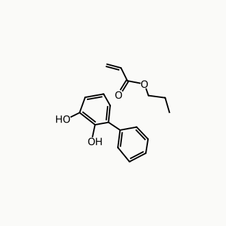 C=CC(=O)OCCC.Oc1cccc(-c2ccccc2)c1O